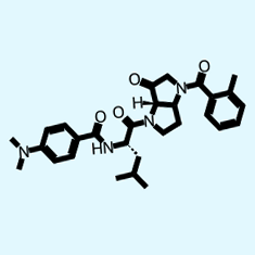 Cc1ccccc1C(=O)N1CC(=O)[C@@H]2C1CCN2C(=O)[C@H](CC(C)C)NC(=O)c1ccc(N(C)C)cc1